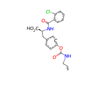 C=CCNC(=O)Oc1ccc(C[C@H](NC(=O)c2ccccc2Cl)C(=O)O)cc1